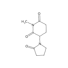 CN1C(=O)CCC(N2CCCC2=O)C1=O